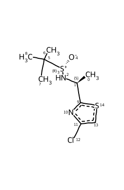 C[C@H](N[S@@+]([O-])C(C)(C)C)c1nc(Cl)cs1